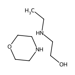 C1COCCN1.CCNCCO